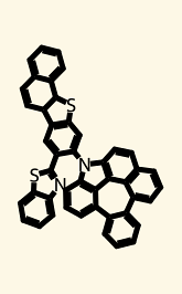 C1=CC2c3cc(-c4nc5ccccc5s4)c(-n4c5cccc6c5c5c7c(cccc7ccc54)-c4ccccc4-6)cc3SC2c2ccccc21